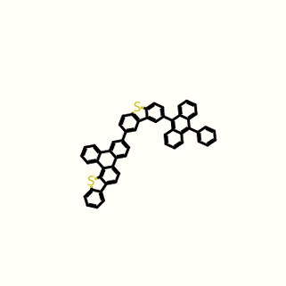 c1ccc(-c2c3ccccc3c(-c3ccc4sc5ccc(-c6ccc7c(c6)c6ccccc6c6c7ccc7c8ccccc8sc76)cc5c4c3)c3ccccc23)cc1